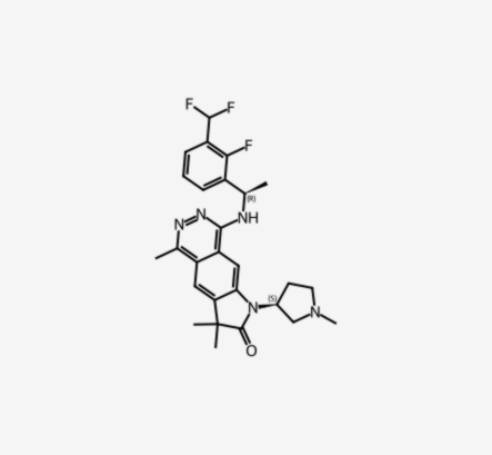 Cc1nnc(N[C@H](C)c2cccc(C(F)F)c2F)c2cc3c(cc12)C(C)(C)C(=O)N3[C@H]1CCN(C)C1